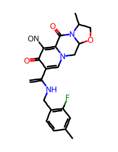 C=C(NCc1ccc(C)cc1F)c1cn2c(c(N=O)c1=O)C(=O)N1C(C)COC1C2